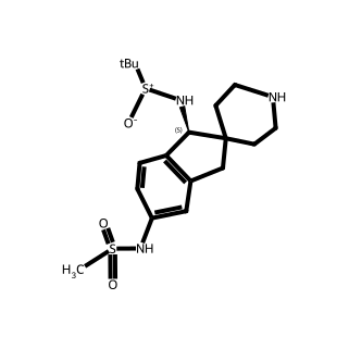 CC(C)(C)[S+]([O-])N[C@@H]1c2ccc(NS(C)(=O)=O)cc2CC12CCNCC2